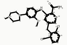 COc1cc(N2CCN(C)CC2)ccc1Nc1cc(Cc2c(Cl)cccc2Cl)cnc1C(N)=O